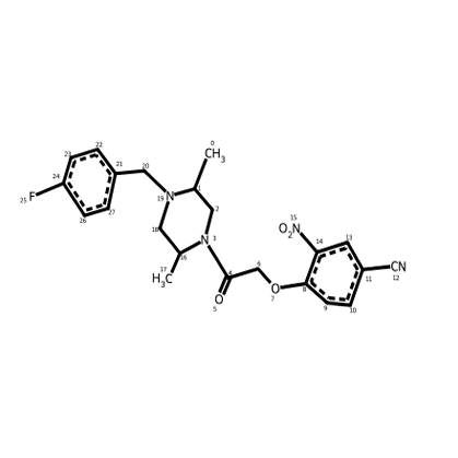 CC1CN(C(=O)COc2ccc(C#N)cc2[N+](=O)[O-])C(C)CN1Cc1ccc(F)cc1